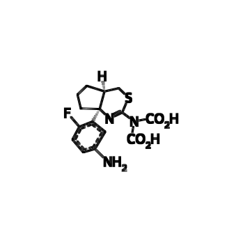 Nc1ccc(F)c([C@]23CCC[C@H]2CSC(N(C(=O)O)C(=O)O)=N3)c1